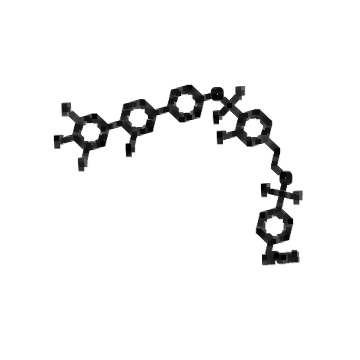 CCCCCc1ccc(C(F)(F)OCCc2ccc(C(F)(F)Oc3ccc(-c4ccc(-c5cc(F)c(F)c(F)c5)c(F)c4)cc3)c(F)c2)cc1